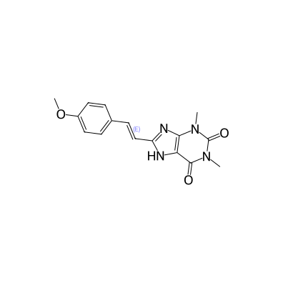 COc1ccc(/C=C/c2nc3c([nH]2)c(=O)n(C)c(=O)n3C)cc1